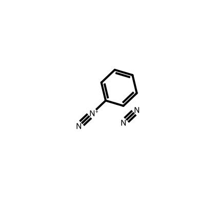 N#N.N#[N+]c1ccccc1